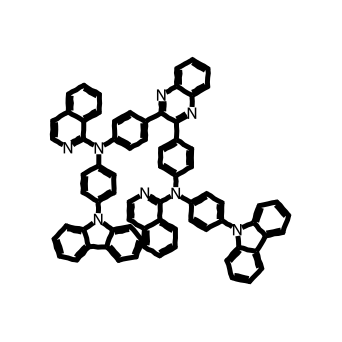 c1ccc2c(N(c3ccc(-c4nc5ccccc5nc4-c4ccc(N(c5ccc(-n6c7ccccc7c7ccccc76)cc5)c5nccc6ccccc56)cc4)cc3)c3ccc(-n4c5ccccc5c5ccccc54)cc3)nccc2c1